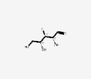 O=C[C@H](O)[C@H](F)[C@H](O)CO